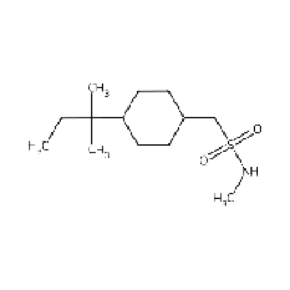 CCC(C)(C)C1CCC(CS(=O)(=O)NC)CC1